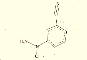 N#Cc1cccc(N(N)Cl)c1